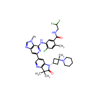 Cc1cc(F)c(Nc2nc(-c3cnc4c(c3)N([C@H]3C[C@@](C)(N5CCCCC5)C3)C(=O)C4(C)C)cc3ncn(C(C)C)c23)cc1C(=O)NCC(F)F